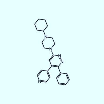 c1ccc(-c2nnc(N3CCN(C4CCCCC4)CC3)cc2-c2ccncc2)cc1